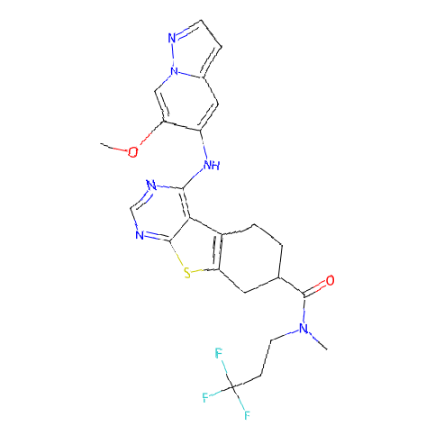 COc1cn2nccc2cc1Nc1ncnc2sc3c(c12)CCC(C(=O)N(C)CCC(F)(F)F)C3